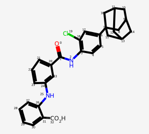 O=C(Nc1ccc(C23CC4CC(CC(C4)C2)C3)cc1Cl)c1cccc(Nc2ccccc2C(=O)O)c1